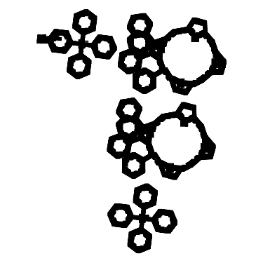 C1=Cc2cc3c(-c4ccccc4)c(-c4ccccc4)c(c(-c4ccccc4)c4nc(cc5ccc(cc1n2)[nH]5)C=C4)n3-c1ccccc1.C1=Cc2cc3c(-c4ccccc4)c(-c4ccccc4)c(c(-c4ccccc4)c4nc(cc5ccc(cc1n2)[nH]5)C=C4)n3-c1ccccc1.[Mn+2].c1ccc([B-](c2ccccc2)(c2ccccc2)c2ccccc2)cc1.c1ccc([B-](c2ccccc2)(c2ccccc2)c2ccccc2)cc1